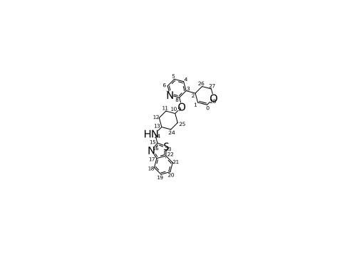 C1=CC(c2cccnc2OC2CCC(Nc3nc4ccccc4s3)CC2)CCO1